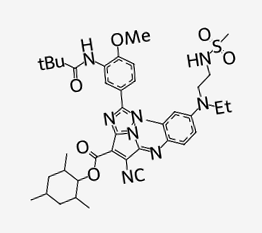 [C-]#[N+]C1=C(C(=O)OC2C(C)CC(C)CC2C)c2nc(-c3ccc(OC)c(NC(=O)C(C)(C)C)c3)nn2C1=Nc1ccc(N(CC)CCNS(C)(=O)=O)cc1C